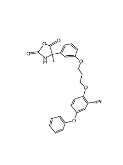 CCCc1cc(Oc2ccccc2)ccc1OCCCOc1cccc(C2(C)NC(=O)OC2=O)c1